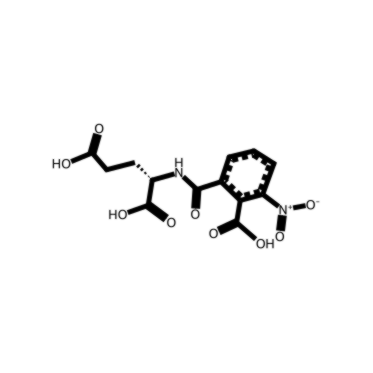 O=C(O)CC[C@H](NC(=O)c1cccc([N+](=O)[O-])c1C(=O)O)C(=O)O